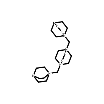 C1C[N+]2(C[N+]34CC[N+](C[N+]56CCN(CC5)CC6)(CC3)CC4)CCN1CC2